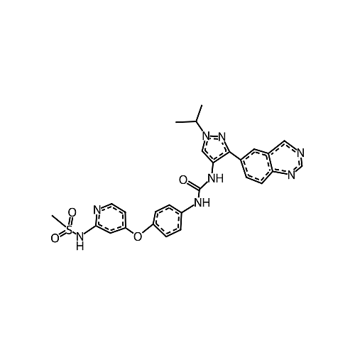 CC(C)n1cc(NC(=O)Nc2ccc(Oc3ccnc(NS(C)(=O)=O)c3)cc2)c(-c2ccc3ncncc3c2)n1